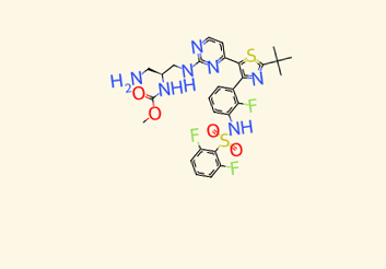 COC(=O)N[C@@H](CN)CNc1nccc(-c2sc(C(C)(C)C)nc2-c2cccc(NS(=O)(=O)c3c(F)cccc3F)c2F)n1